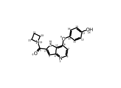 O=C(c1cc2nccc(Oc3ccc(O)cc3)c2s1)N1CCC1